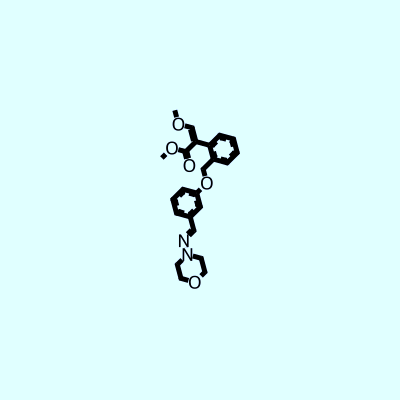 COC=C(C(=O)OC)c1ccccc1COc1cccc(C=NN2CCOCC2)c1